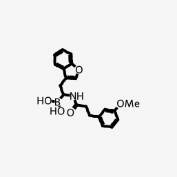 COc1cccc(CCC(=O)NC(Cc2coc3ccccc23)B(O)O)c1